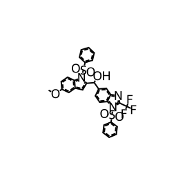 COc1ccc2c(c1)cc(C(O)c1ccc3c(c1)nc(C(F)(F)F)n3S(=O)(=O)c1ccccc1)n2S(=O)(=O)c1ccccc1